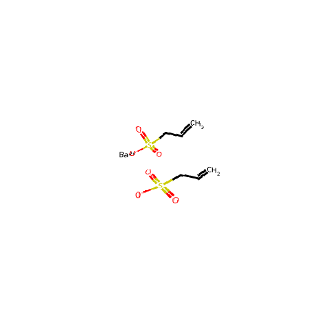 C=CCS(=O)(=O)[O-].C=CCS(=O)(=O)[O-].[Ba+2]